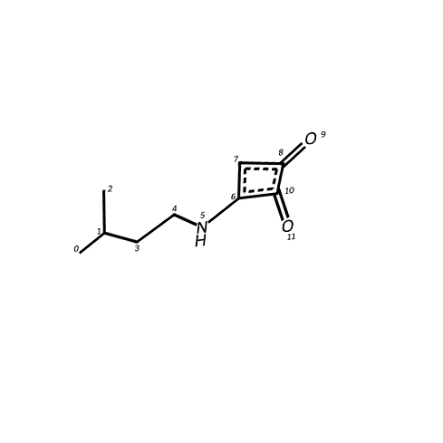 CC(C)CCNc1cc(=O)c1=O